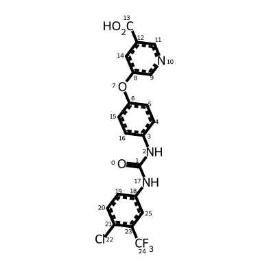 O=C(Nc1ccc(Oc2cncc(C(=O)O)c2)cc1)Nc1ccc(Cl)c(C(F)(F)F)c1